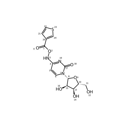 O=C(ONc1ccn([C@@H]2O[C@H](CO)[C@@H](O)[C@H]2O)c(=O)n1)c1ccsc1